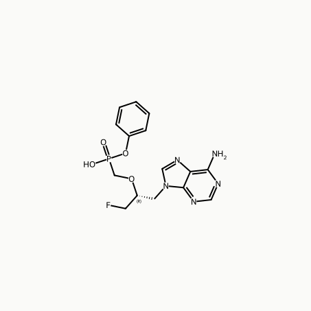 Nc1ncnc2c1ncn2C[C@H](CF)OCP(=O)(O)Oc1ccccc1